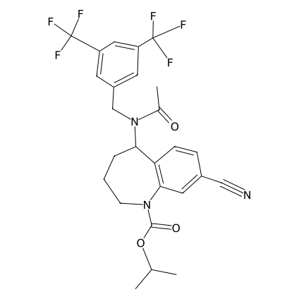 CC(=O)N(Cc1cc(C(F)(F)F)cc(C(F)(F)F)c1)C1CCCN(C(=O)OC(C)C)c2cc(C#N)ccc21